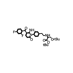 CC(C)(C)OC[C@H](NCCc1ccc(-n2c(N)c(C(=O)c3ccc(F)cc3F)ccc2=O)cc1)C(=O)OC(C)(C)C